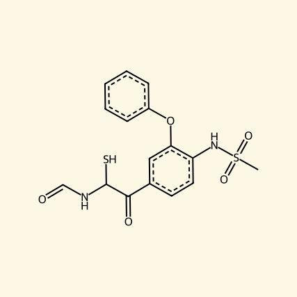 CS(=O)(=O)Nc1ccc(C(=O)C(S)NC=O)cc1Oc1ccccc1